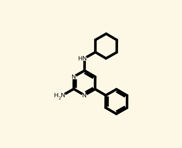 Nc1nc(NC2CCCCC2)cc(-c2ccccc2)n1